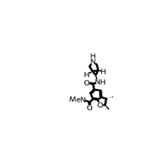 CNC(=O)c1cc(C(=O)N[C@H]2[C@@H]3CNC[C@@H]32)cc2c1O[C@H](C)[C@H]2C